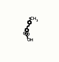 CSc1ccc(C=Cc2ccc(S(=O)(=O)CCCO)cc2)cc1